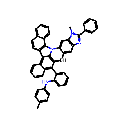 Cc1ccc(Nc2ccccc2-c2c3c4c(c5ccccc25)c2ccc5ccccc5c2n4-c2cc4c(cc2B3)nc(-c2ccccc2)n4C)cc1